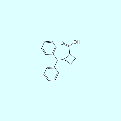 O=C(O)C1CCN1C(c1ccccc1)c1ccccc1